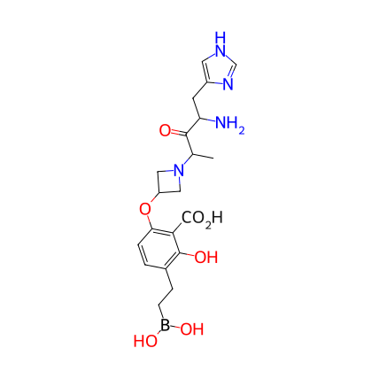 CC(C(=O)C(N)Cc1c[nH]cn1)N1CC(Oc2ccc(CCB(O)O)c(O)c2C(=O)O)C1